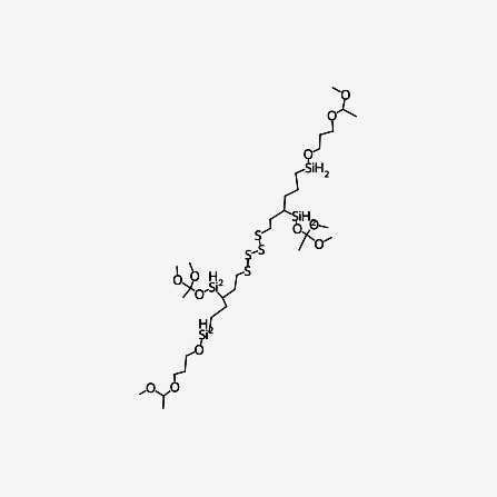 COC(C)OCCCO[SiH2]CCCC(CCSSSSCCC(CCC[SiH2]OCCCOC(C)OC)[SiH2]OC(C)(OC)OC)[SiH2]OC(C)(OC)OC